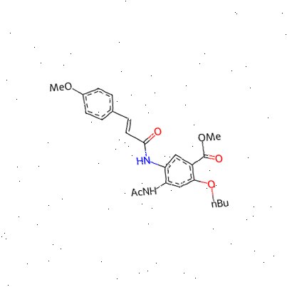 CCCCOc1cc(NC(C)=O)c(NC(=O)C=Cc2ccc(OC)cc2)cc1C(=O)OC